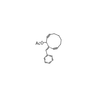 CC(=O)OC1C#CCCCCC#CC1=Cc1ccccc1